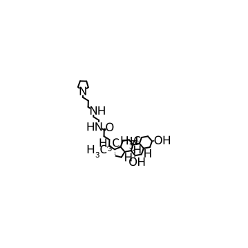 C[C@H](CCC(=O)NCCNCCCN1CCCC1)[C@H]1CC[C@H]2[C@@H]3[C@@H](O)C[C@@H]4C[C@H](O)CC[C@]4(C)[C@H]3CC[C@]12C